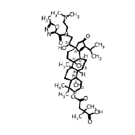 Cc1nnc(C(=O)N(CCN(C)C)C[C@H](O)[C@@]23CC[C@]4(C)[C@H](CC[C@@H]5[C@@]6(C)CC[C@H](OC(=O)CC(C)(C)C(=O)O)C(C)(C)C6CC[C@]54C)C2=C(C(C)C)C(=O)C3)o1